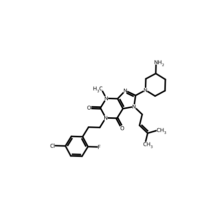 CC(C)=CCn1c(N2CCCC(N)C2)nc2c1c(=O)n(CCc1cc(Cl)ccc1F)c(=O)n2C